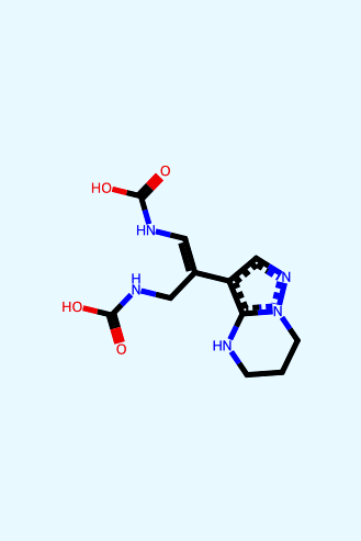 O=C(O)N/C=C(\CNC(=O)O)c1cnn2c1NCCC2